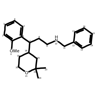 COc1ccccc1C(CCNCc1ccccc1)C1CCOC(C)(C)C1